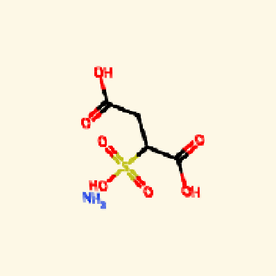 N.O=C(O)CC(C(=O)O)S(=O)(=O)O